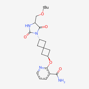 CC(C)(C)OCC1NC(=O)N([C@H]2CC3(C[C@H](Oc4ncccc4C(N)=O)C3)C2)C1=O